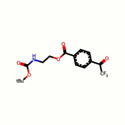 CC(C)(C)OC(=O)NCCOC(=O)c1ccc(C(=O)C(F)(F)F)cc1